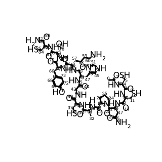 CC(=O)N[C@@H](CS)C(=O)N[C@@H](CS)C(=O)N[C@@H](CC(N)=O)C(=O)N1CCC[C@H]1C(=O)N[C@@H](C)C(=O)N[C@@H](CS)C(=O)NCC(=O)N[C@@H](Cc1c[nH]cn1)C(=O)N[C@@H](CCCCN)C(=O)N[C@@H](Cc1ccc(O)cc1)C(=O)N[C@@H](CO)C(=O)N[C@@H](CS)C(N)=O